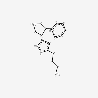 CCCCc1cn([C@@H]2CNC[C@H]2c2ccccc2)nn1